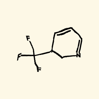 FC(F)(F)[C]1C=CC=NC1